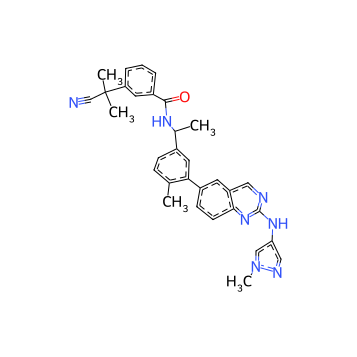 Cc1ccc(C(C)NC(=O)c2cccc(C(C)(C)C#N)c2)cc1-c1ccc2nc(Nc3cnn(C)c3)ncc2c1